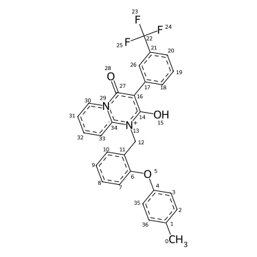 Cc1ccc(Oc2ccccc2C[n+]2c(O)c(-c3cccc(C(F)(F)F)c3)c(=O)n3ccccc32)cc1